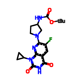 CC(C)(C)OC(=O)NC1CCN(c2nc3c(cc2F)c(=O)[nH]c(=O)n3C2CC2)C1